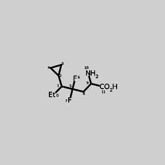 CCC(C1CC1)C(F)(F)CC(N)C(=O)O